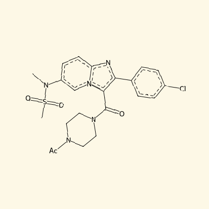 CC(=O)N1CCN(C(=O)c2c(-c3ccc(Cl)cc3)nc3ccc(N(C)S(C)(=O)=O)cn23)CC1